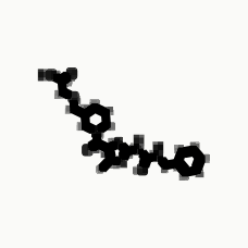 Cc1nc(NC(=O)NCc2ccccc2)sc1C(=O)N1CCCC(COCC(=O)O)C1